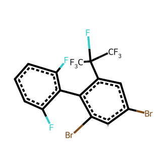 Fc1cccc(F)c1-c1c(Br)[c]c(Br)cc1C(F)(C(F)(F)F)C(F)(F)F